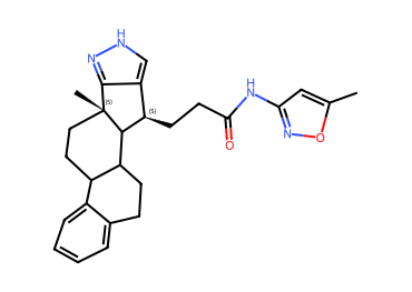 Cc1cc(NC(=O)CC[C@@H]2c3c[nH]nc3[C@@]3(C)CCC4c5ccccc5CCC4C23)no1